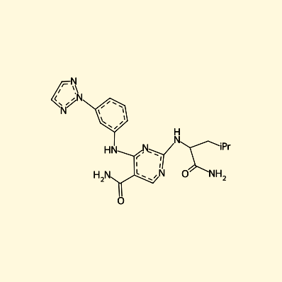 CC(C)CC(Nc1ncc(C(N)=O)c(Nc2cccc(-n3nccn3)c2)n1)C(N)=O